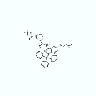 COCCOc1ccc2c(c1)c(NC(=O)[C@@H]1CCCN(C(=O)OC(C)(C)C)C1)nn2C(c1ccccc1)(c1ccccc1)c1ccccc1